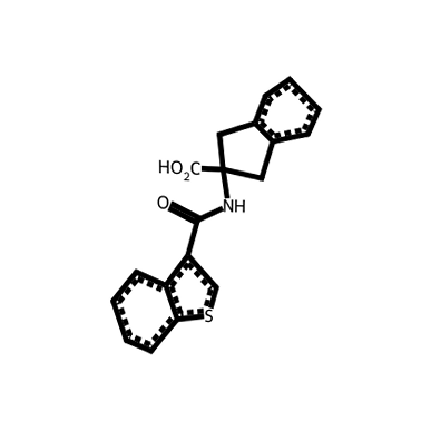 O=C(NC1(C(=O)O)Cc2ccccc2C1)c1csc2ccccc12